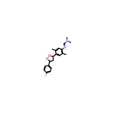 Cc1cc(C2CC(c3ccc(F)cc3)=NO2)c(C)cc1N=CN(C)C